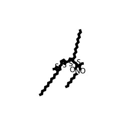 CCCCCCCCCCCCc1cc(-c2ccc(-c3cc(CCCCCCCCCCCC)c(-c4sc(C)c5c4C(=O)N(CCCCCCCC)C5=O)s3)s2)sc1C